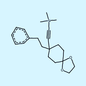 C[Si](C)(C)C#CC1(CCc2ccccc2)CCC2(CC1)OCCO2